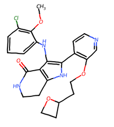 COc1c(Cl)cccc1Nc1c(-c2ccncc2OCCC2CCO2)[nH]c2c1C(=O)NCC2